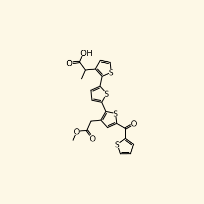 COC(=O)Cc1cc(C(=O)c2cccs2)sc1-c1ccc(-c2sccc2C(C)C(=O)O)s1